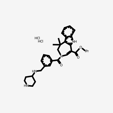 CC(C)OC(=O)C1=CN(C(=O)c2cccc(CNC3CCNCC3)c2)CC(C)(C)c2c1[nH]c1ccccc21.Cl.Cl